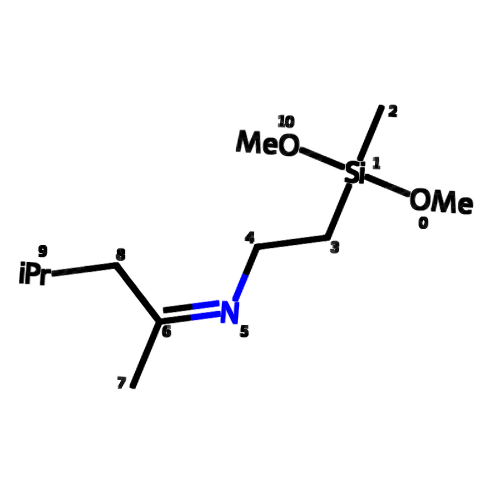 CO[Si](C)(CCN=C(C)CC(C)C)OC